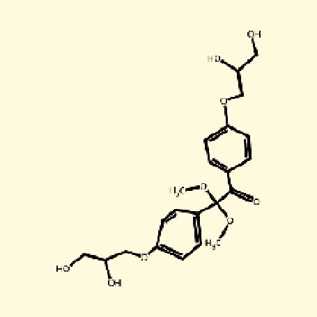 COC(OC)(C(=O)c1ccc(OCC(O)CO)cc1)c1ccc(OCC(O)CO)cc1